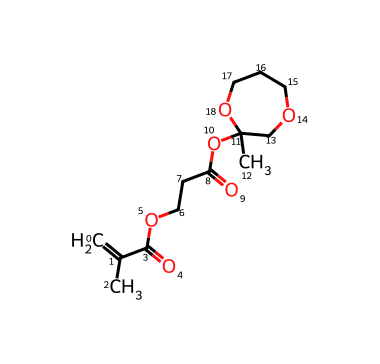 C=C(C)C(=O)OCCC(=O)OC1(C)COCCCO1